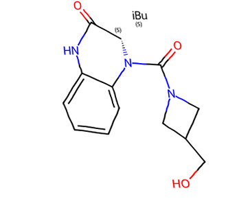 CC[C@H](C)[C@H]1C(=O)Nc2ccccc2N1C(=O)N1CC(CO)C1